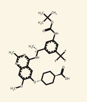 COc1cc2nc(C)nc(N[C@H](C)c3cc(NC(=O)OC(C)(C)C)cc(C(F)(F)F)c3)c2cc1O[C@H]1CC[C@H](C(=O)O)CC1